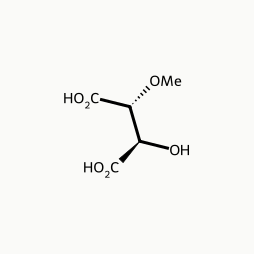 CO[C@@H](C(=O)O)[C@@H](O)C(=O)O